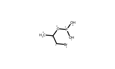 CC(CBr)OP(O)O